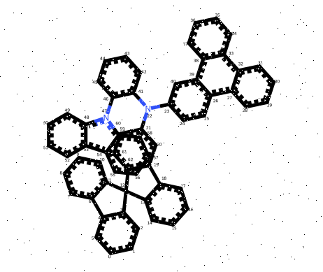 c1ccc2c(c1)-c1ccccc1C21c2ccccc2-c2cc(N(c3ccc4c5ccccc5c5ccccc5c4c3)c3ccccc3-n3c4ccccc4c4ccccc43)ccc21